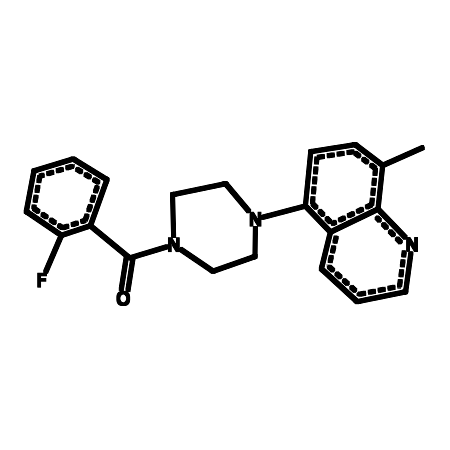 Cc1ccc(N2CCN(C(=O)c3ccccc3F)CC2)c2cccnc12